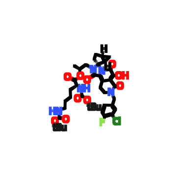 C[C@@H](CN1C(=O)c2c3c(c(O)c(=O)n2[C@@]12CC[C@H]1C[C@H]12)C(=O)N(Cc1ccc(F)c(Cl)c1)CC3)OC(=O)[C@H](CCCCNC(=O)OC(C)(C)C)NC(=O)OC(C)(C)C